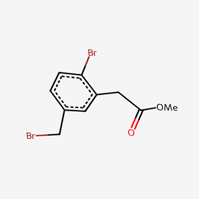 COC(=O)Cc1cc(CBr)ccc1Br